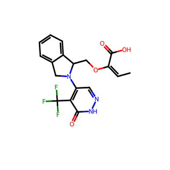 CC=C(OCC1c2ccccc2CN1c1cn[nH]c(=O)c1C(F)(F)F)C(=O)O